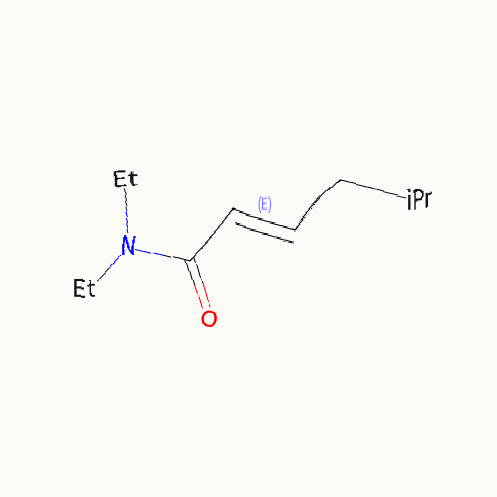 CCN(CC)C(=O)/C=C/CC(C)C